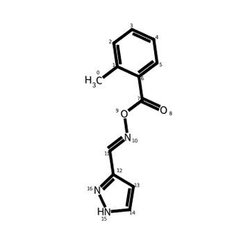 Cc1ccccc1C(=O)ON=Cc1cc[nH]n1